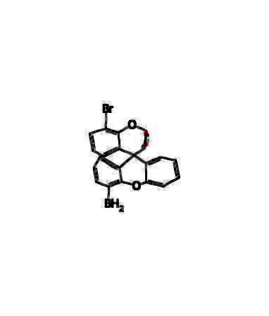 Bc1cccc2c1Oc1ccccc1C21c2ccccc2Oc2c(Br)cccc21